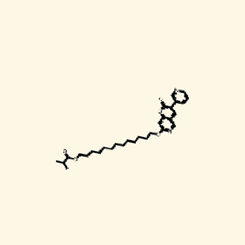 CC(C)C(=O)OCCCCCCCCCCCCCOc1cc2oc(=O)c(-c3cccnc3)cc2cn1